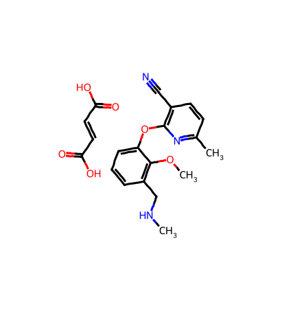 CNCc1cccc(Oc2nc(C)ccc2C#N)c1OC.O=C(O)C=CC(=O)O